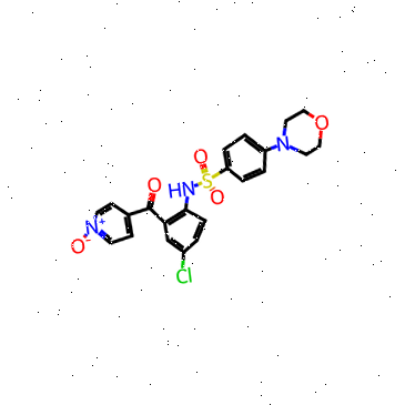 O=C(c1cc[n+]([O-])cc1)c1cc(Cl)ccc1NS(=O)(=O)c1ccc(N2CCOCC2)cc1